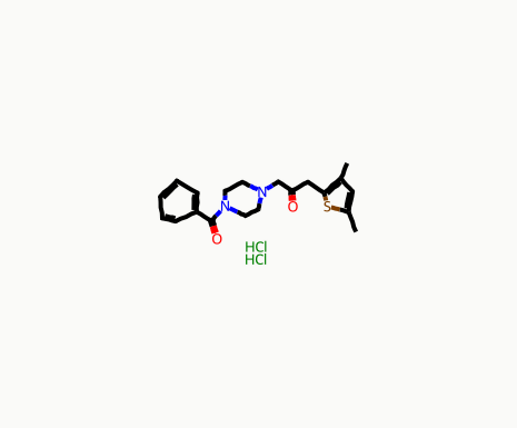 Cc1cc(C)c(CC(=O)CN2CCN(C(=O)c3ccccc3)CC2)s1.Cl.Cl